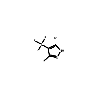 Cc1n[nH]cc1[B-](F)(F)F.[K+]